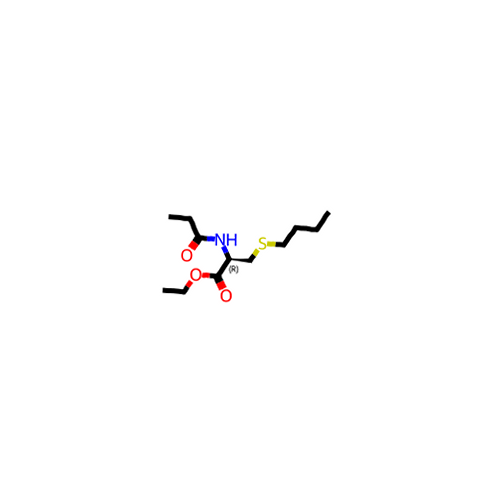 CCCCSC[C@H](NC(=O)CC)C(=O)OCC